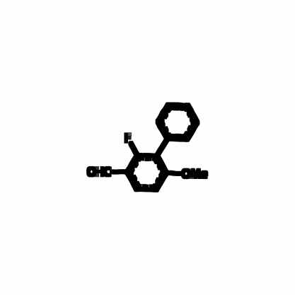 COc1ccc(C=O)c(F)c1-c1ccccc1